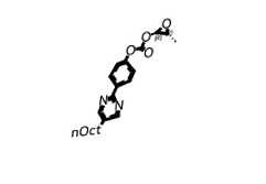 CCCCCCCCc1cnc(-c2ccc(OC(=O)O[C@H]3O[C@@H]3C)cc2)nc1